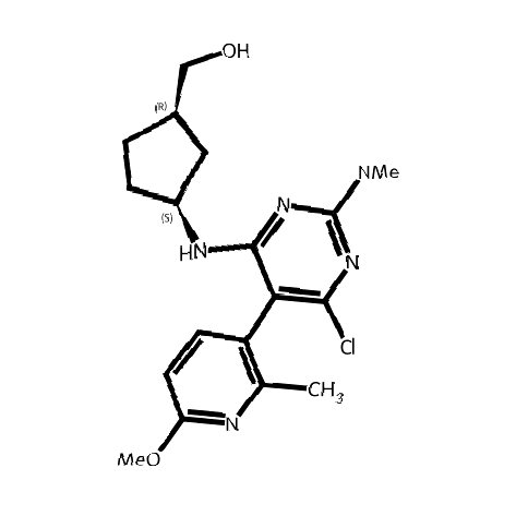 CNc1nc(Cl)c(-c2ccc(OC)nc2C)c(N[C@H]2CC[C@@H](CO)C2)n1